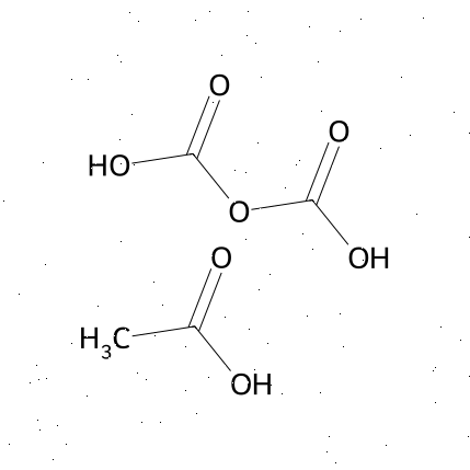 CC(=O)O.O=C(O)OC(=O)O